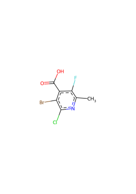 Cc1nc(Cl)c(Br)c(C(=O)O)c1F